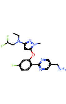 CCN(CC(F)F)c1cc(Oc2cc(F)ccc2-c2ncc(CN)cn2)n(C)n1